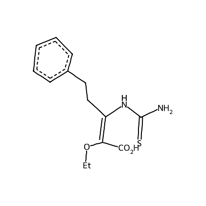 CCOC(C(=O)O)=C(CCc1ccccc1)NC(N)=S